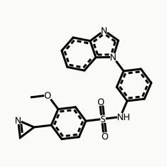 COc1cc(S(=O)(=O)Nc2cccc(-n3cnc4ccccc43)c2)ccc1C1C=N1